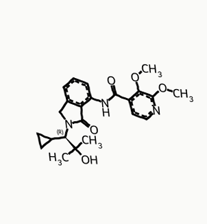 COc1nccc(C(=O)Nc2cccc3c2C(=O)N([C@H](C2CC2)C(C)(C)O)C3)c1OC